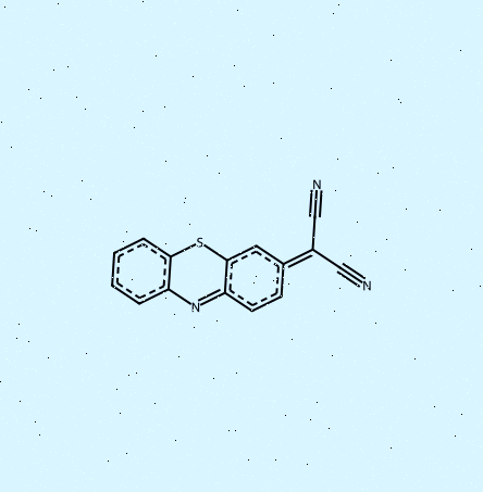 N#CC(C#N)=c1ccc2c(c1)Sc1ccccc1N=2